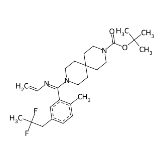 C=C/N=C(\c1cc(CC(C)(F)F)ccc1C)N1CCC2(CCN(C(=O)OC(C)(C)C)CC2)CC1